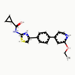 N#CCOc1cc(-c2ccc(-c3csc(NC(=O)C4CC4)n3)cc2)ccn1